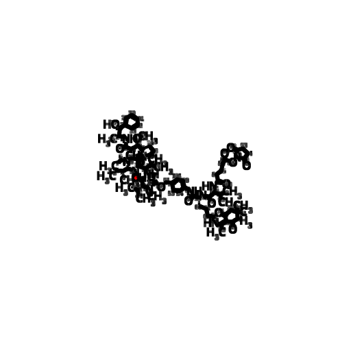 CC[C@@H](C)[C@H](N(CC)CC(=O)N1CCC[C@@H]1[C@@H](OC)[C@H](C)C(=O)N[C@@H](C)[C@H](O)c1ccccc1)N(C)C(=O)[C@H](NC(=O)[C@@H](C(C)C)N(C)C(=O)OCc1ccc(NC(=O)[C@@H](CCCCNC(C)=C2C(=O)CC(C)(C)CC2=O)NC(=O)[C@H](NC(=O)CCCC(=O)ON2C(=O)CCC2=O)C(C)C)cc1)C(C)C